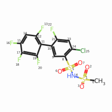 CS(=O)(=O)NS(=O)(=O)c1cc(-c2c(F)cc(F)c(F)c2F)c(F)cc1Cl